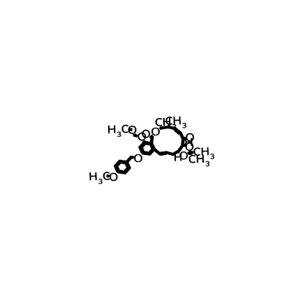 COCOc1cc(OCc2ccc(OC)cc2)cc2c1C(=O)O[C@@H](C)[C@H](C)/C=C\C(=O)[C@H]1OC(C)(C)O[C@H]1C/C=C/2